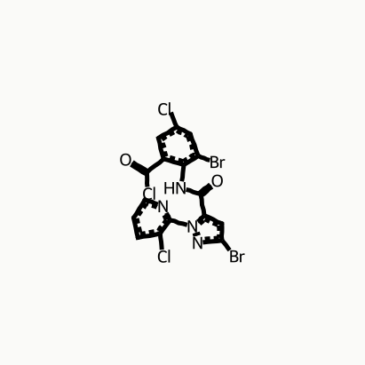 O=C(Cl)c1cc(Cl)cc(Br)c1NC(=O)c1cc(Br)nn1-c1ncccc1Cl